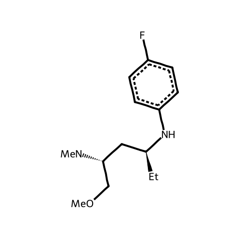 CC[C@@H](C[C@H](COC)NC)Nc1ccc(F)cc1